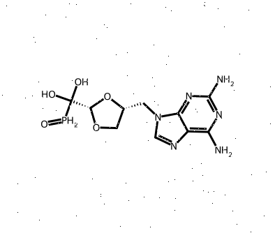 Nc1nc(N)c2ncn(C[C@@H]3CO[C@H](C(O)(O)[PH2]=O)O3)c2n1